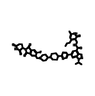 CCCc1cc(C)[nH]c(=O)c1CNC(=O)c1cc(-c2ccc(N3CCN(C4CCN(Cc5cc6c(cc5F)C(=O)N(C5CCC(=O)NC5=O)C6=O)CC4)CC3)nc2)cc2c1cnn2C(C)C